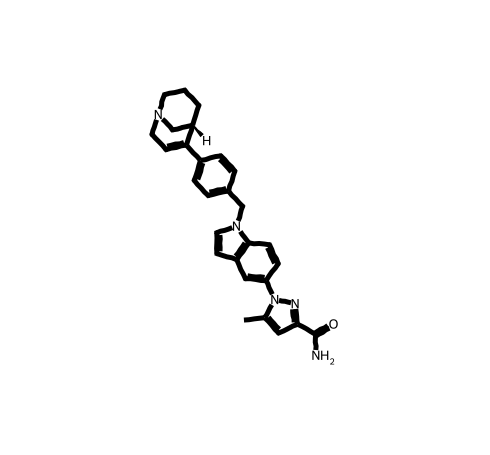 Cc1cc(C(N)=O)nn1-c1ccc2c(ccn2Cc2ccc(C3=CCN4CCC[C@H]3C4)cc2)c1